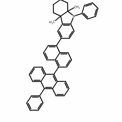 CC12CCCCC1(C)N(c1ccccc1)c1ccc(-c3cccc4c(-c5c6ccccc6c(-c6ccccc6)c6ccccc56)cccc34)cc12